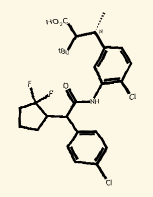 C[C@H](c1ccc(Cl)c(NC(=O)C(c2ccc(Cl)cc2)C2CCCC2(F)F)c1)C(C(=O)O)C(C)(C)C